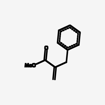 C=C(Cc1ccccc1)C(=O)OC